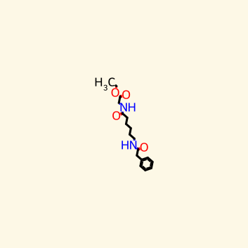 CCOC(=O)CNC(=O)CCCCCNC(=O)Cc1ccccc1